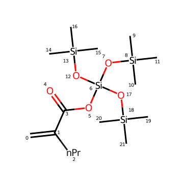 C=C(CCC)C(=O)O[Si](O[Si](C)(C)C)(O[Si](C)(C)C)O[Si](C)(C)C